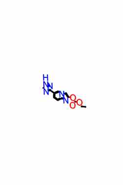 CCOC(=O)Oc1cn2cc(-c3nc[nH]n3)ccc2n1